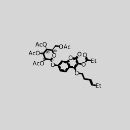 CCC=CCCOc1c(OC(=O)CC)c(=O)oc2cc(O[C@H]3O[C@H](COC(C)=O)[C@@H](OC(C)=O)[C@H](OC(C)=O)[C@@H]3OC(C)=O)ccc12